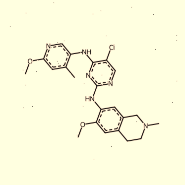 COc1cc(C)c(Nc2nc(Nc3cc4c(cc3OC)CCN(C)C4)ncc2Cl)cn1